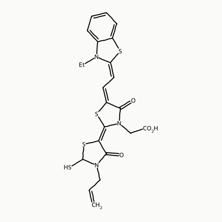 C=CCN1C(=O)C(=c2sc(=CC=C3Sc4ccccc4N3CC)c(=O)n2CC(=O)O)SC1S